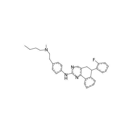 CCCCN(C)CCc1ccc(Nc2ncc3c(n2)-c2ccccc2C(c2ccccc2F)C3)cc1